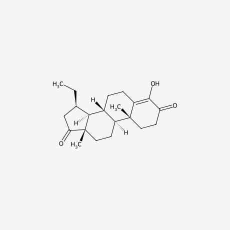 CC[C@@H]1CC(=O)[C@@]2(C)CC[C@H]3[C@@H](CCC4=C(O)C(=O)CC[C@@]43C)[C@H]12